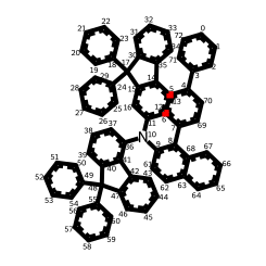 c1ccc(-c2ccc(-c3c(N(c4ccc5c(c4)C(c4ccccc4)(c4ccccc4)c4ccccc4-5)c4cccc5c4-c4ccccc4C5(c4ccccc4)c4ccccc4)ccc4ccccc34)cc2)cc1